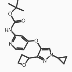 CC(C)(C)OC(=O)Nc1cc(Oc2cn(C3CC3)nc2C2CCO2)ccn1